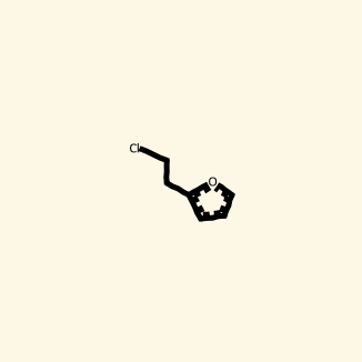 ClCCc1ccco1